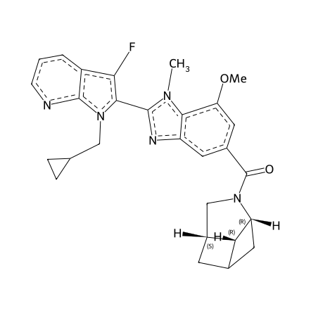 COc1cc(C(=O)N2C[C@H]3CC4C[C@@H]2[C@H]43)cc2nc(-c3c(F)c4cccnc4n3CC3CC3)n(C)c12